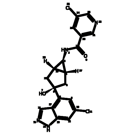 O=C(N[C@H]1[C@@H]2C[C@@](O)(c3cc(Cl)cc4[nH]ncc34)C[C@@H]21)c1cncc(Cl)c1